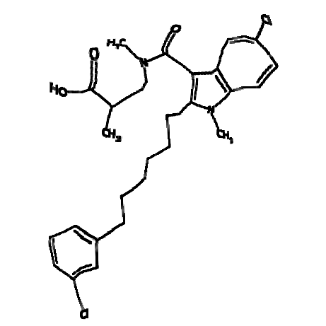 CC(CN(C)C(=O)c1c(CCCCCCc2cccc(Cl)c2)n(C)c2ccc(Cl)cc12)C(=O)O